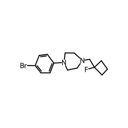 FC1(CN2CCN(c3ccc(Br)cc3)CC2)CCC1